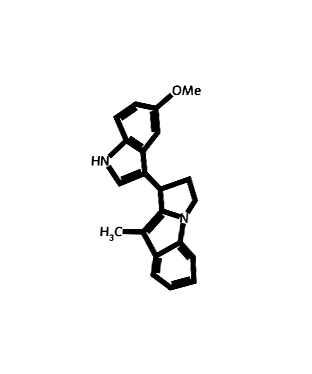 COc1ccc2[nH]cc(C3CCn4c3c(C)c3ccccc34)c2c1